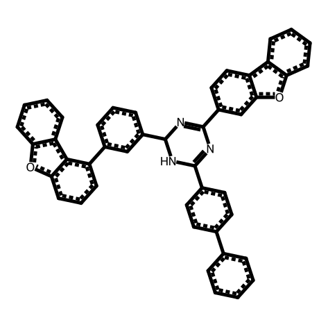 c1ccc(-c2ccc(C3=NC(c4ccc5c(c4)oc4ccccc45)=NC(c4cccc(-c5cccc6oc7ccccc7c56)c4)N3)cc2)cc1